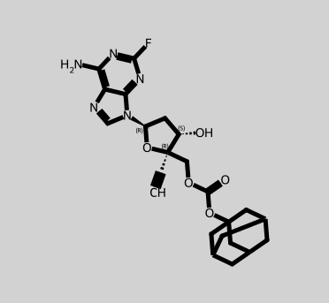 C#C[C@]1(COC(=O)OC23CC4CC(CC(C4)C2)C3)O[C@@H](n2cnc3c(N)nc(F)nc32)C[C@@H]1O